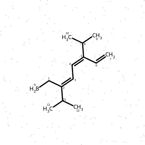 BC/C(=C\C=C(/C=C)C(C)C)C(C)C